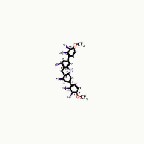 FC(F)(F)Oc1ccc(-c2cc(I)c(Cc3c(I)cc(-c4ccc(OC(F)(F)F)c(I)c4I)cc3I)c(I)c2)c(I)c1I